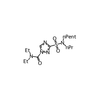 CCCCCN(CCC)S(=O)(=O)c1ncn(C(=O)N(CC)CC)n1